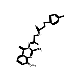 C=C1c2cccc(OC)c2N=C(N)N1/N=C(\C)CNC(=O)CCc1ccc(C)cc1